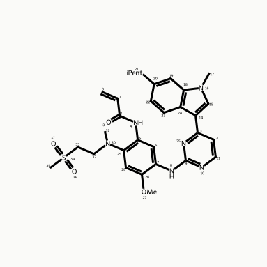 C=CC(=O)Nc1cc(Nc2nccc(-c3cn(C)c4cc(C(C)CCC)ccc34)n2)c(OC)cc1N(C)CCS(C)(=O)=O